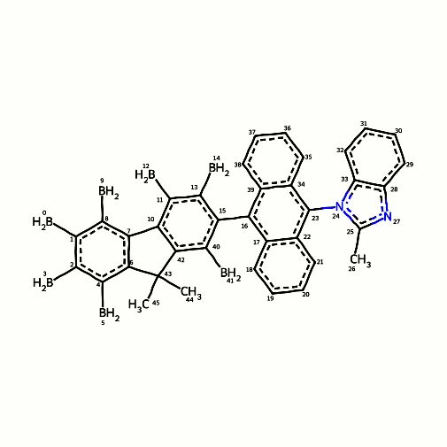 Bc1c(B)c(B)c2c(c1B)-c1c(B)c(B)c(-c3c4ccccc4c(-n4c(C)nc5ccccc54)c4ccccc34)c(B)c1C2(C)C